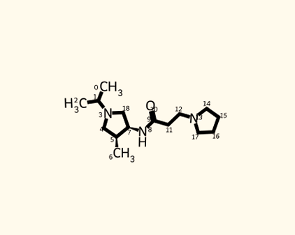 CC(C)N1C[C@H](C)[C@H](NC(=O)CCN2CCCC2)C1